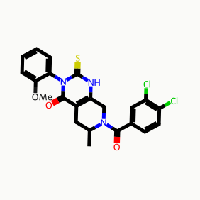 COc1ccccc1-n1c(=S)[nH]c2c(c1=O)CC(C)N(C(=O)c1ccc(Cl)c(Cl)c1)C2